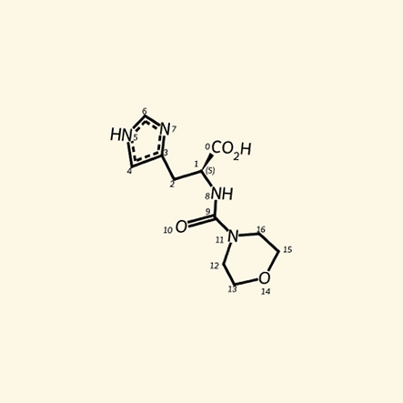 O=C(O)[C@H](Cc1c[nH]cn1)NC(=O)N1CCOCC1